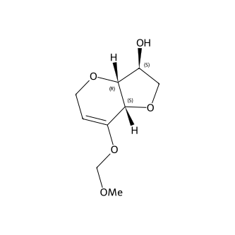 COCOC1=CCO[C@H]2[C@@H]1OC[C@@H]2O